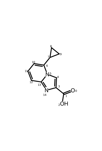 O=C(O)c1cn2c(C3CC3)cccc2n1